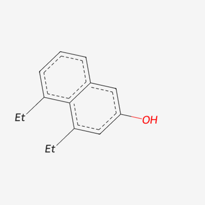 CCc1cccc2cc(O)cc(CC)c12